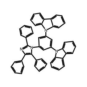 c1ccc(-c2nc(-c3ccccc3)n(-c3cc(-n4c5ccccc5c5ccccc54)cc(-n4c5ccccc5c5ccccc54)c3)c2-c2ccccc2)cc1